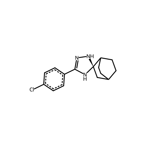 Clc1ccc(C2=NN[C@@]3(CC4CCC3CC4)N2)cc1